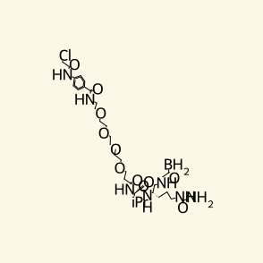 BC(=O)CNC(=O)[C@H](CCCNC(N)=O)NC(=O)C(NC(=O)CCOCCOCCOCCOCCNC(=O)c1ccc(NC(=O)CCl)cc1)C(C)C